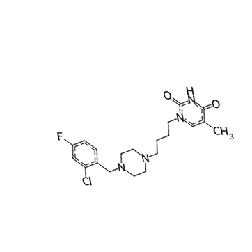 Cc1cn(CCCCN2CCN(Cc3ccc(F)cc3Cl)CC2)c(=O)[nH]c1=O